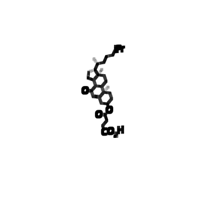 CC(C)CCC[C@@H](C)[C@H]1CCC2C3C(=O)C=C4CC(OC(=O)CCC(=O)O)CC[C@]4(C)C3CC[C@@]21C